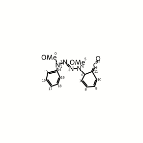 CON(N=NN(OC)C1C=CC=CC1=C=O)c1ccccc1